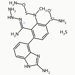 CN(SON)c1c([S+](N)[O-])ccc(-c2cccc3[nH]c(N)nc23)c1/C(N)=N/NN.S